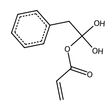 C=CC(=O)OC(O)(O)Cc1ccccc1